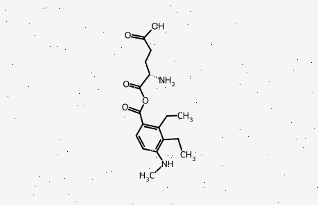 CCc1c(NC)ccc(C(=O)OC(=O)[C@@H](N)CCC(=O)O)c1CC